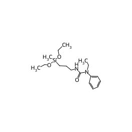 CCO[Si](C)(CCCNC(=O)N(CC)c1ccccc1)OCC